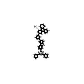 CC1CC=Cc2c1c1ccc(-c3cccc(-c4ccc5sc6cc(-c7nc(-c8ccccc8)nc(-c8ccccc8)n7)ccc6c5c4)c3)cc1c1ccccc21